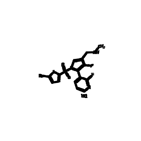 CNCc1cn(S(=O)(=O)c2ccc(Br)s2)c(-c2cccnc2F)c1F.Cl